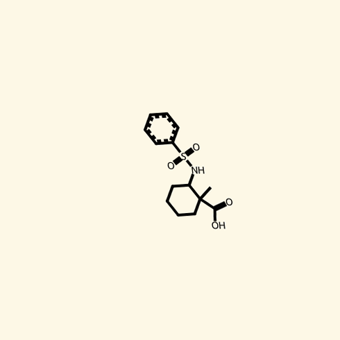 CC1(C(=O)O)CCCCC1NS(=O)(=O)c1ccccc1